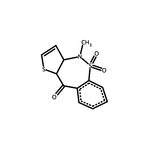 CN1C2C=CSC2C(=O)c2ccccc2S1(=O)=O